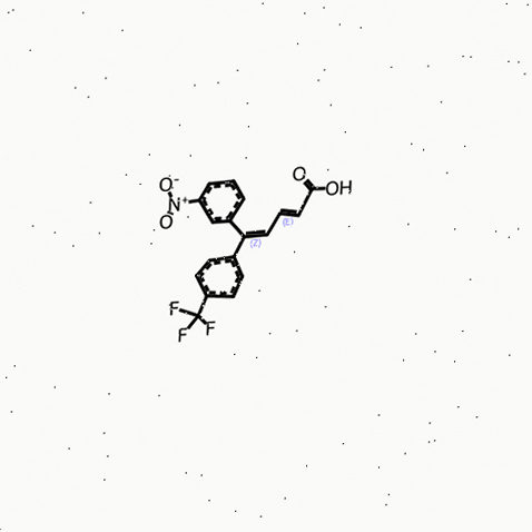 O=C(O)/C=C/C=C(/c1ccc(C(F)(F)F)cc1)c1cccc([N+](=O)[O-])c1